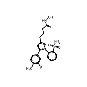 Cc1ccc(-c2cc(CCCC(=O)NO)nn2-c2ccccc2S(N)(=O)=O)cc1F